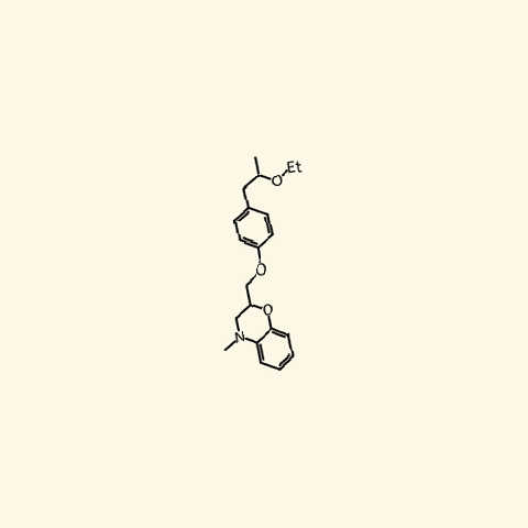 CCOC(C)Cc1ccc(OCC2CN(C)c3ccccc3O2)cc1